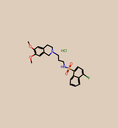 COc1cc2c(cc1OC)CN(CCCNS(=O)(=O)c1ccc(F)c3ccccc13)CC2.Cl